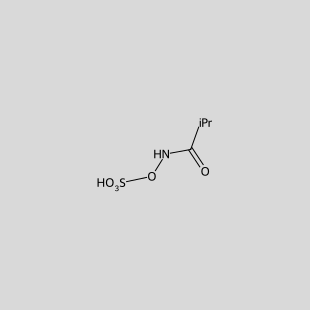 CC(C)C(=O)NOS(=O)(=O)O